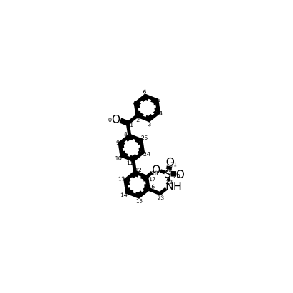 O=C(c1ccccc1)c1ccc(-c2cccc3c2OS(=O)(=O)NC3)cc1